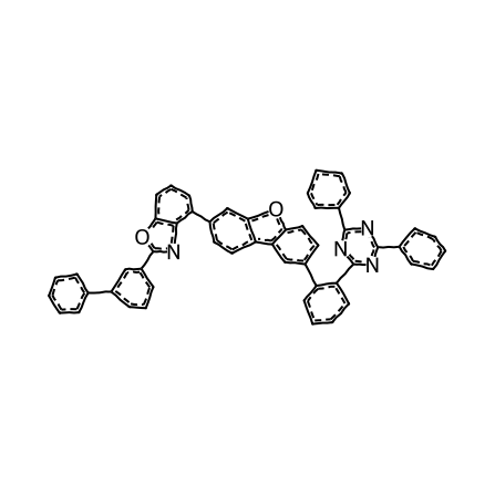 c1ccc(-c2cccc(-c3nc4c(-c5ccc6c(c5)oc5ccc(-c7ccccc7-c7nc(-c8ccccc8)nc(-c8ccccc8)n7)cc56)cccc4o3)c2)cc1